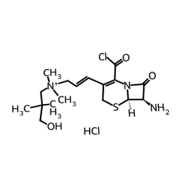 CC(C)(CO)C[N+](C)(C)C/C=C/C1=C(C(=O)Cl)N2C(=O)[C@@H](N)[C@H]2SC1.Cl